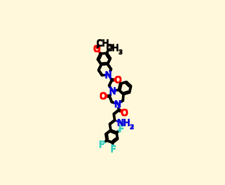 COc1cc2c(cc1C)CN(C(=O)CN1C(=O)CN(C(=O)C[C@H](N)Cc3cc(F)c(F)cc3F)Cc3ccccc31)CC2